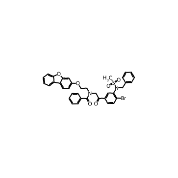 CS(=O)(=O)N(Cc1ccccc1)c1cc(C(=O)CN(CCOc2ccc3c(c2)oc2ccccc23)C(=O)c2ccccc2)ccc1Br